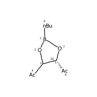 CCCCB1OC(C(C)=O)[C@@H](C(C)=O)O1